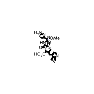 CO/N=C(\C(=O)NC1C(=O)N2C(C(=O)O)=C(Cc3ccnc4cscc34)CS[C@H]12)c1csc(N)n1